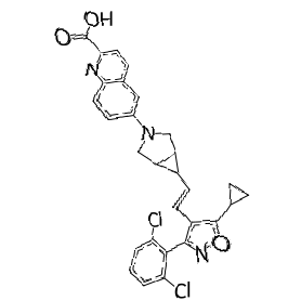 O=C(O)c1ccc2cc(N3CC4C(/C=C/c5c(-c6c(Cl)cccc6Cl)noc5C5CC5)C4C3)ccc2n1